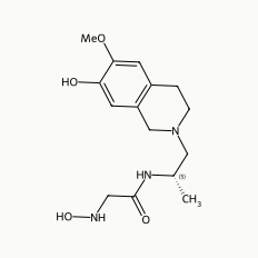 COc1cc2c(cc1O)CN(C[C@H](C)NC(=O)CNO)CC2